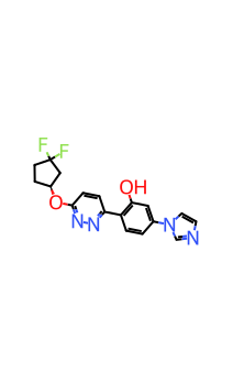 Oc1cc(-n2ccnc2)ccc1-c1ccc(O[C@H]2CCC(F)(F)C2)nn1